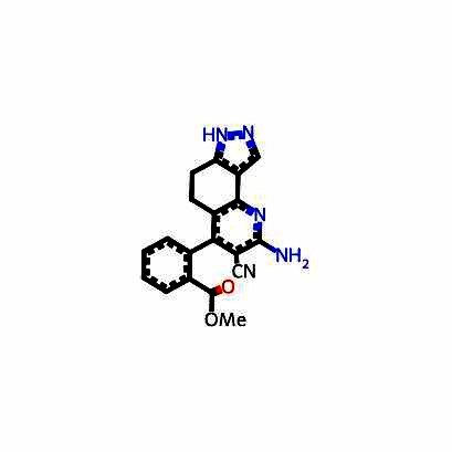 COC(=O)c1ccccc1-c1c(C#N)c(N)nc2c1CCc1[nH]ncc1-2